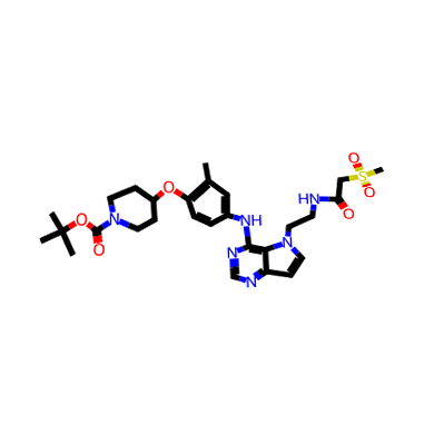 Cc1cc(Nc2ncnc3ccn(CCNC(=O)CS(C)(=O)=O)c23)ccc1OC1CCN(C(=O)OC(C)(C)C)CC1